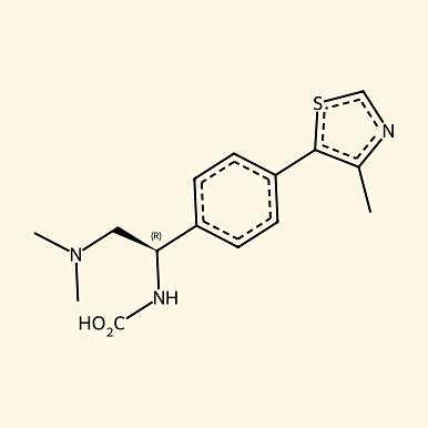 Cc1ncsc1-c1ccc([C@H](CN(C)C)NC(=O)O)cc1